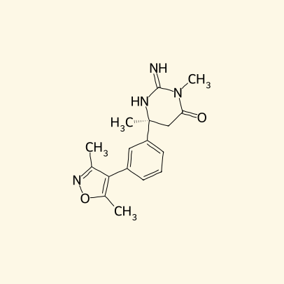 Cc1noc(C)c1-c1cccc([C@]2(C)CC(=O)N(C)C(=N)N2)c1